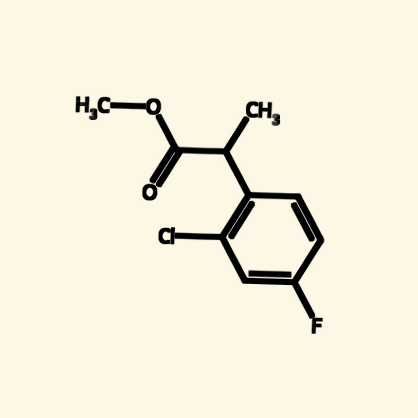 COC(=O)C(C)c1ccc(F)cc1Cl